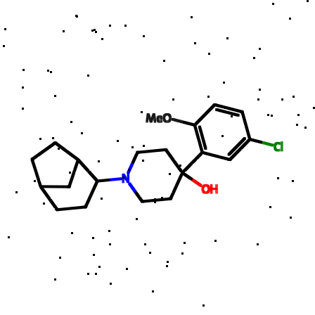 COc1ccc(Cl)cc1C1(O)CCN(C2CCC3CCC2C3)CC1